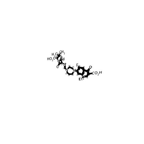 CCn1cc(C(=O)O)c(=O)c2cc(F)c(N3CCCN(C=N[C@H]4C(=O)N5[C@H]4SC(C)(C)[C@H]5C(=O)O)CC3)cc21